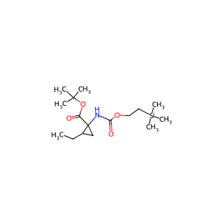 CCC1CC1(NC(=O)OCC[Si](C)(C)C)C(=O)OC(C)(C)C